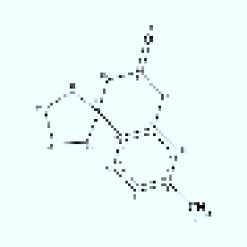 Cc1ccc2c(c1)CC(=O)CC21CCCC1